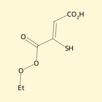 CCOOC(=O)C(S)=CC(=O)O